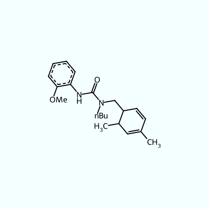 CCCCN(CC1C=CC(C)=CC1C)C(=O)Nc1ccccc1OC